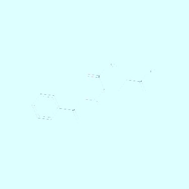 CCCC(=O)CC[C@H](NOC(=O)c1ccccc1)C(=O)OC